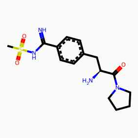 CS(=O)(=O)NC(=N)c1ccc(C[C@H](N)C(=O)N2CCCC2)cc1